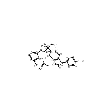 CC(=O)Nc1c(F)cccc1CC[C@]1(O)CCC2=Cc3c(cnn3-c3ccc(F)cc3)C[C@@]21C